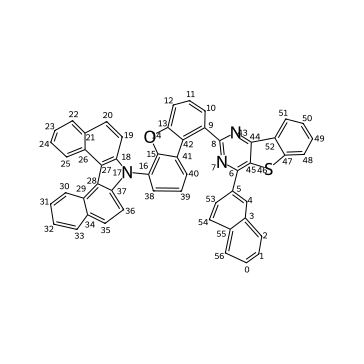 c1ccc2cc(-c3nc(-c4cccc5oc6c(-n7c8ccc9ccccc9c8c8c9ccccc9ccc87)cccc6c45)nc4c3sc3ccccc34)ccc2c1